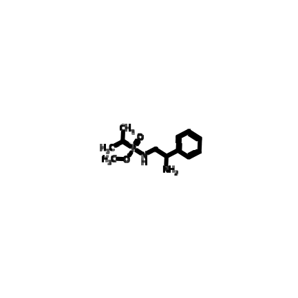 COP(=O)(NCC(N)c1ccccc1)C(C)C